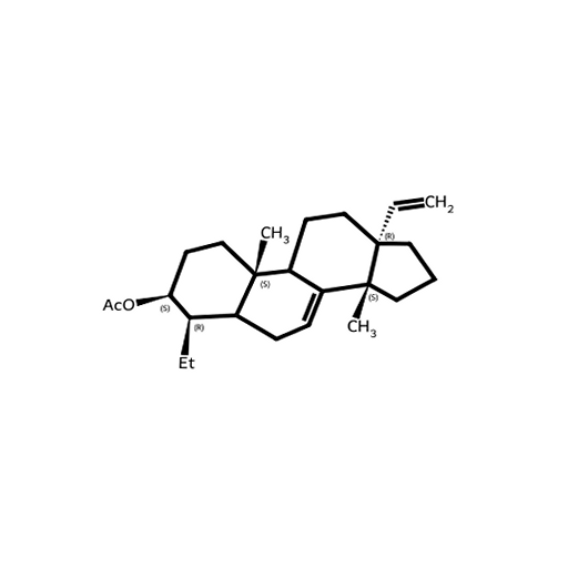 C=C[C@]12CCC[C@]1(C)C1=CCC3[C@@H](CC)[C@@H](OC(C)=O)CC[C@]3(C)C1CC2